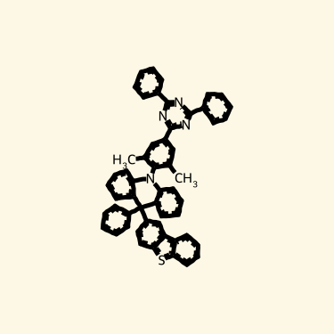 Cc1cc(-c2nc(-c3ccccc3)nc(-c3ccccc3)n2)cc(C)c1N1c2ccccc2C(c2ccccc2)(c2ccc3sc4ccccc4c3c2)c2ccccc21